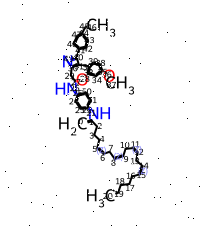 C=C(CCC/C=C\C/C=C\C/C=C\C/C=C\CCCCC)Nc1ccc(NC(=O)CC2=C(c3ccc(OC)cc3)C(c3ccc(CC)cc3)=N2)cc1